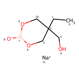 CCC1(CO)COB([O-])OC1.[Na+]